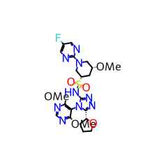 COc1ncnc(OC)c1-n1c(NS(=O)(=O)[C@H]2C[C@@H](OC)CN(c3ncc(F)cn3)C2)nnc1[C@H]1CCCO1